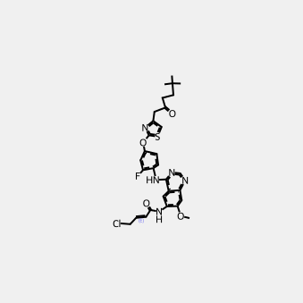 COc1cc2ncnc(Nc3ccc(Oc4nc(CC(=O)CCC(C)(C)C)cs4)cc3F)c2cc1NC(=O)/C=C/CCl